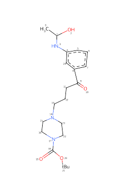 CC(O)Nc1cccc(C(=O)CCCN2CCN(C(=O)OC(C)(C)C)CC2)c1